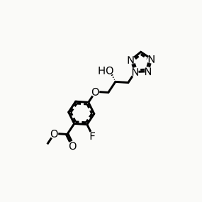 COC(=O)c1ccc(OC[C@H](O)Cn2ncnn2)cc1F